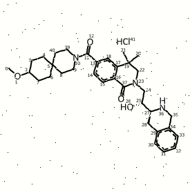 COC1CCC2(CC1)CCN(C(=O)c1ccc3c(c1)C(C)(C)CN(C[C@@H](O)[C@@H]1Cc4ccccc4CN1)C3=O)CC2.Cl